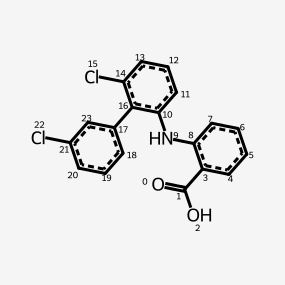 O=C(O)c1ccccc1Nc1cccc(Cl)c1-c1cccc(Cl)c1